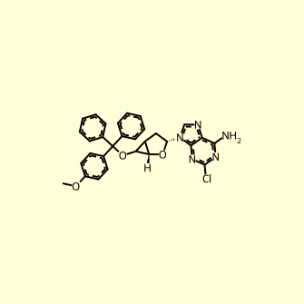 COc1ccc(C(OC2C3C[C@H](n4cnc5c(N)nc(Cl)nc54)O[C@@H]32)(c2ccccc2)c2ccccc2)cc1